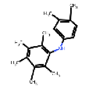 Cc1ccc(Nc2c(C)c(C)c(C)c(C)c2C)cc1C